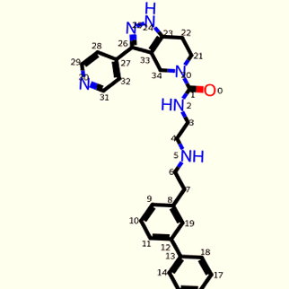 O=C(NCCNCCc1cccc(-c2ccccc2)c1)N1CCc2[nH]nc(-c3ccncc3)c2C1